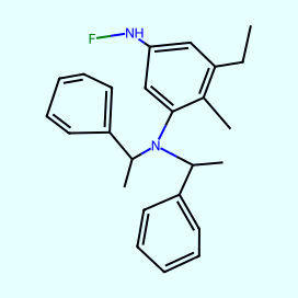 CCc1cc(NF)cc(N(C(C)c2ccccc2)C(C)c2ccccc2)c1C